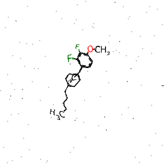 CCCCCC12CCC(c3ccc(OC)c(F)c3F)(CC1)CC2